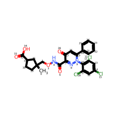 CC1(CONC(=O)c2nn(-c3c(Cl)cc(Cl)cc3Cl)c(-c3ccccc3)cc2=O)CCC(C(=O)O)C1